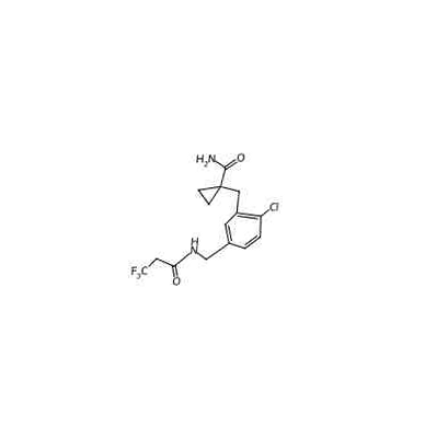 NC(=O)C1(Cc2cc(CNC(=O)CC(F)(F)F)ccc2Cl)CC1